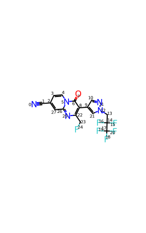 N#Cc1ccn2c(=O)c(-c3cnn(CC(F)(F)C(F)(F)F)c3)c(CF)nc2c1